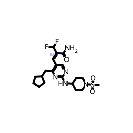 CS(=O)(=O)N1CCC(Nc2ncc(/C=C(\C(N)=O)C(F)F)c(CC3CCCC3)n2)CC1